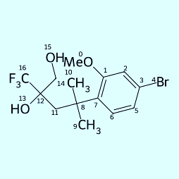 COc1cc(Br)ccc1C(C)(C)CC(O)(CO)C(F)(F)F